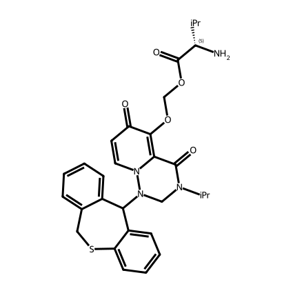 CC(C)[C@H](N)C(=O)OCOc1c2n(ccc1=O)N(C1c3ccccc3CSc3ccccc31)CN(C(C)C)C2=O